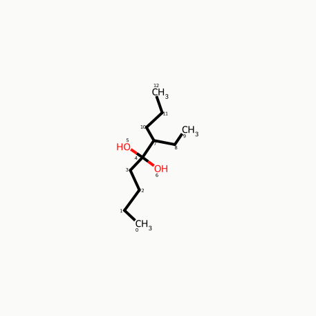 CCCCC(O)(O)C(CC)CCC